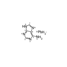 Nc1ncnc2[nH]cnc12.[PbH2]